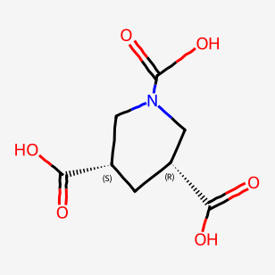 O=C(O)[C@@H]1C[C@H](C(=O)O)CN(C(=O)O)C1